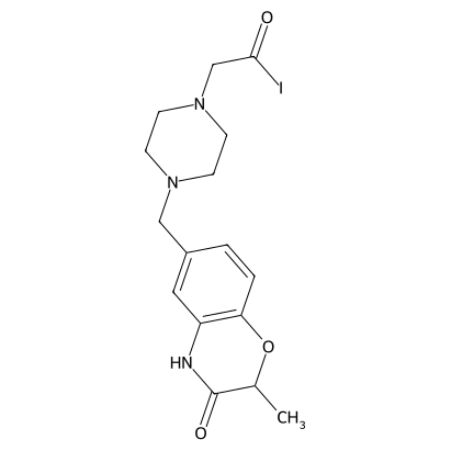 CC1Oc2ccc(CN3CCN(CC(=O)I)CC3)cc2NC1=O